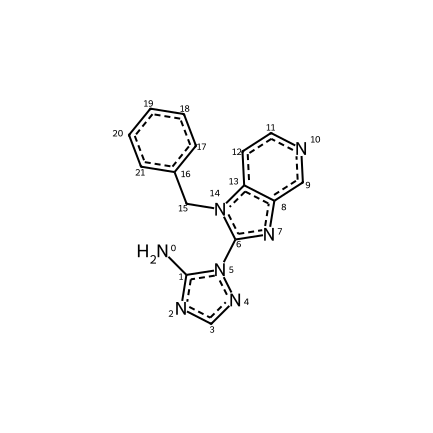 Nc1ncnn1-c1nc2cnccc2n1Cc1ccccc1